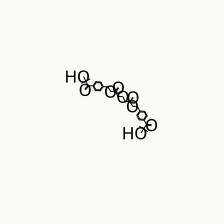 CC(C)(O)C(=O)c1ccc(COC(=O)COCC(=O)OCc2ccc(C(=O)C(C)(C)O)cc2)cc1